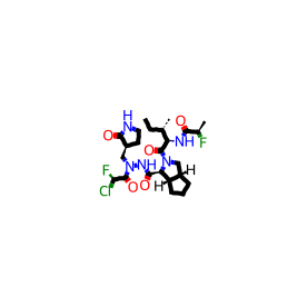 CC[C@H](C)[C@H](NC(=O)[C@@H](C)F)C(=O)N1C[C@@H]2CCC[C@@H]2[C@H]1C(=O)NN(C[C@@H]1CCNC1=O)C(=O)[C@H](F)Cl